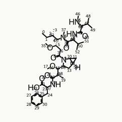 CC[C@H](C)[C@@H](C(CC(=O)N1C2C[C@H]2C[C@H]1C(OC)[C@@H](C)C(=O)N[C@@H](Cc1ccccc1)C(=O)O)OC)N(C)C(=O)[C@@H](NC(=O)[C@@H](NC)C(C)C)C(C)C